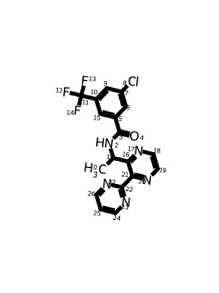 CC(NC(=O)c1cc(Cl)cc(C(F)(F)F)c1)c1nccnc1-c1ncccn1